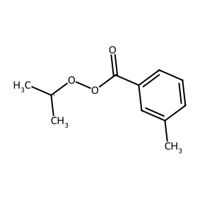 C[C](C)OOC(=O)c1cccc(C)c1